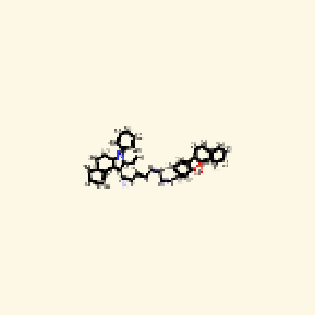 C=Cc1c(/C=C\CC/C=C\C=C/c2ccc3c(c2)oc2c4ccccc4ccc32)c2c3ccccc3ccc2n1-c1ccccc1